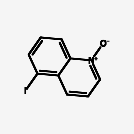 [O-][n+]1cccc2c(I)cccc21